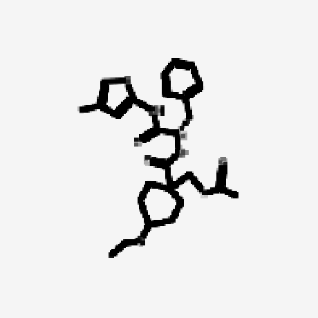 CCOC1CCC(CSC(C)=O)(C(=O)N[C@@H](Cc2ccccc2)C(=O)Nc2cc(C)cs2)CC1